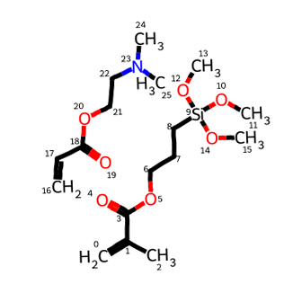 C=C(C)C(=O)OCCC[Si](OC)(OC)OC.C=CC(=O)OCCN(C)C